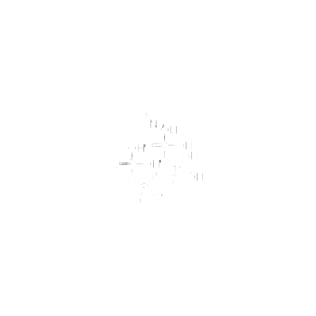 O=P(O)(O)OP(=O)(O)O.O=P([O-])([O-])OP(=O)(O)O.[K+].[Na+]